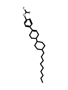 CCCCCCCCCC1CCC(C2CC=C(c3ccc(OC(F)F)cc3)CC2)CC1